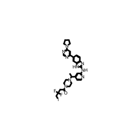 CC(c1ccnc(Nc2nc3ccc(-c4cc(N5CCCC5)ncn4)cc3[nH]2)c1)N1CCN(C(=O)CC(F)(F)CI)CC1